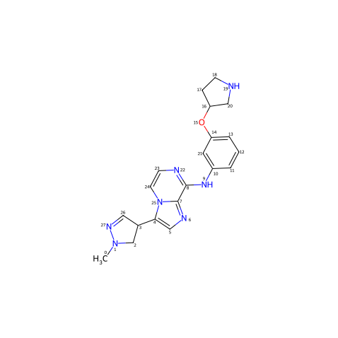 CN1CC(c2cnc3c(Nc4cccc(OC5CCNC5)c4)nccn23)C=N1